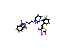 O=C1NC(=O)/C(=C/c2cccc(Cl)c2N2CCC[C@@H](NCCCN3C(=O)c4ccccc4C3=O)C2)S1